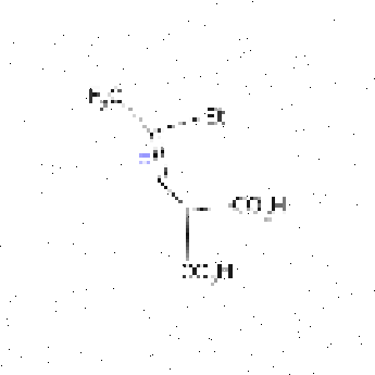 CC/C(=C\C(C(=O)O)C(=O)O)C(F)(F)F